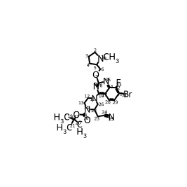 CN1CCCC1COc1nc(N2CCN(C(=O)OC(C)(C)C)C(CC#N)C2)c2ccc(Br)c(F)c2n1